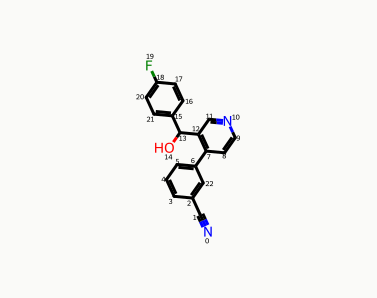 N#Cc1cccc(-c2ccncc2C(O)c2ccc(F)cc2)c1